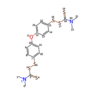 CN(C)C(=S)SSc1ccc(Oc2ccc(SSC(=S)N(C)C)cc2)cc1